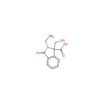 CCN1C(=O)c2ccccc2C1(CO)C(=O)O